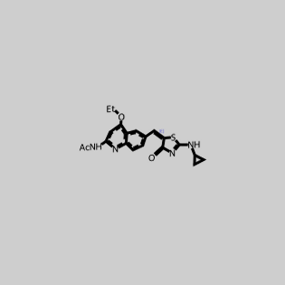 CCOc1cc(NC(C)=O)nc2ccc(/C=C3/SC(NC4CC4)=NC3=O)cc12